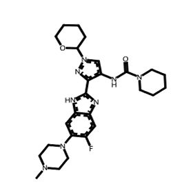 CN1CCN(c2cc3[nH]c(-c4nn(C5CCCCO5)cc4NC(=O)N4CCCCC4)nc3cc2F)CC1